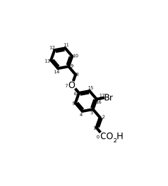 O=C(O)/C=C/c1ccc(OCc2ccccc2)cc1Br